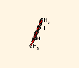 CCCCCCCCCCCCCCCCCCC(O)CCCCCCCCCCCOCCCCCCCCCCCC(O)CCCCCCCCCCCCCCCCCC